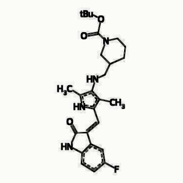 Cc1[nH]c(/C=C2\C(=O)Nc3ccc(F)cc32)c(C)c1NCC1CCCN(C(=O)OC(C)(C)C)C1